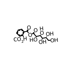 O=C(O)c1ccccc1C(=O)OC(=O)[C@H](O)[C@@H](O)[C@H](O)[C@H](O)CO